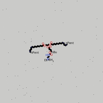 CCCCC/C=C\C/C=C\CCCCCCCC(=O)OCC(COC(=O)CCCCCCC/C=C\C/C=C\CCCCC)OC(=O)CCC(CCCC)OC(=O)NCCN(C)CC